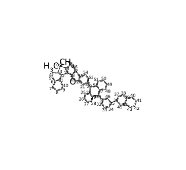 CC1(C)c2ccc3ccccc3c2-c2c1ccc1c2oc2cc(-c3c4ccccc4c(-c4cccc(-c5ccc6ccccc6c5)c4)c4ccccc34)ccc21